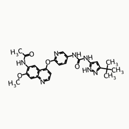 COc1cc2nccc(Oc3ccc(NC(=O)Nc4cc(C(C)(C)C)n[nH]4)cn3)c2cc1NC(C)=O